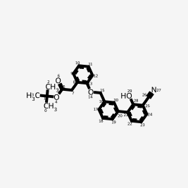 CC(C)(C)OC(=O)Cc1ccccc1OCc1cccc(-c2cccc(C#N)c2O)c1